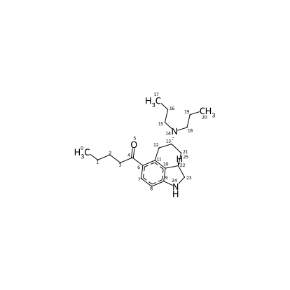 CCCCC(=O)c1ccc2c3c1C[C@H](N(CCC)CCC)C[C@@H]3CN2